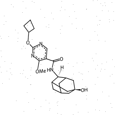 COc1nc(OC2CCC2)ncc1C(=O)N[C@H]1C2CC3CC1C[C@@](O)(C3)C2